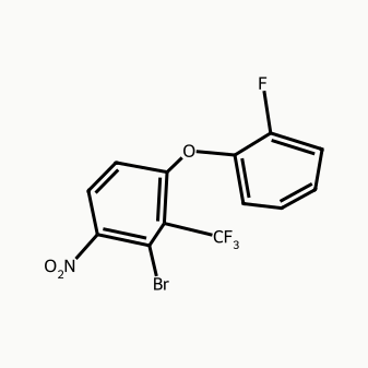 O=[N+]([O-])c1ccc(Oc2ccccc2F)c(C(F)(F)F)c1Br